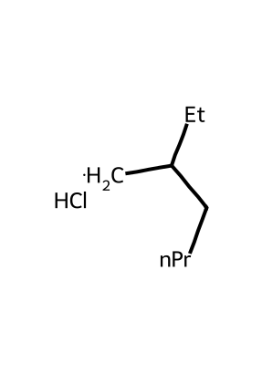 Cl.[CH2]C(CC)CCCC